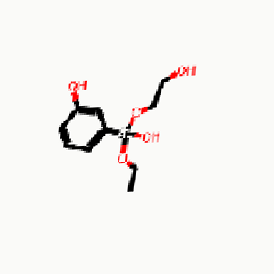 CCO[Si](O)(OCCO)c1cccc(O)c1